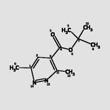 Cc1cc(C(=O)OC(C)(C)C)c(C)nn1